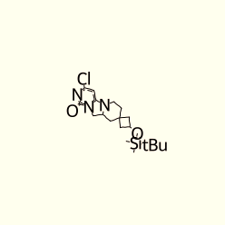 CC(C)(C)[Si](C)(C)OC1CC2(CCN3c4cc(Cl)nc(=O)n4CC3C2)C1